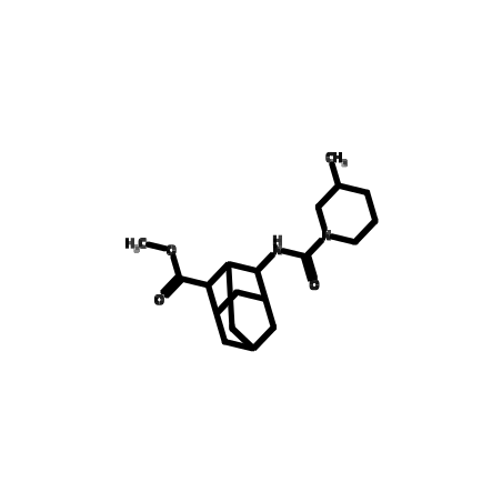 COC(=O)C1C2CC3CC(C2)C(NC(=O)N2CCCC(C)C2)C1C3